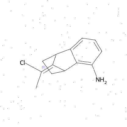 C/C(Cl)=C1/C2CCC1c1c(N)cccc12